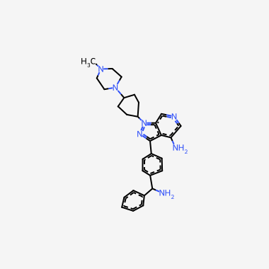 CN1CCN(C2CCC(n3nc(-c4ccc(C(N)c5ccccc5)cc4)c4c(N)cncc43)CC2)CC1